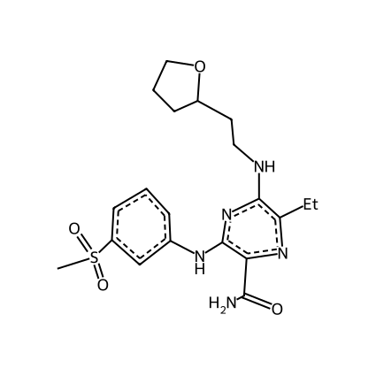 CCc1nc(C(N)=O)c(Nc2cccc(S(C)(=O)=O)c2)nc1NCCC1CCCO1